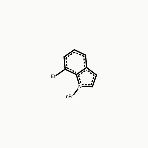 CCCn1ccc2cccc(CC)c21